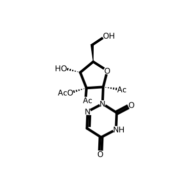 CC(=O)O[C@]1(C(C)=O)[C@H](O)[C@@H](CO)O[C@@]1(C(C)=O)n1ncc(=O)[nH]c1=O